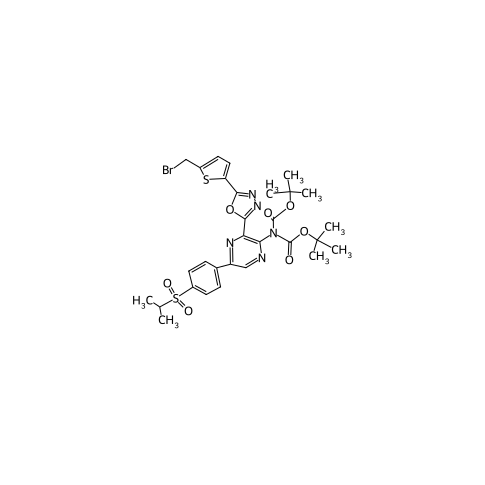 CC(C)S(=O)(=O)c1ccc(-c2cnc(N(C(=O)OC(C)(C)C)C(=O)OC(C)(C)C)c(-c3nnc(-c4ccc(CBr)s4)o3)n2)cc1